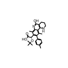 Cc1ccc(-c2c([C@H](OC(C)(C)C)C(=O)O)c(C)c3nc(O)c4c(c3c2C)NCCC4)cc1